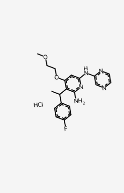 COCCOc1cc(Nc2cnccn2)nc(N)c1C(C)c1ccc(F)cc1.Cl